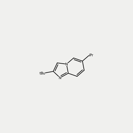 CC(C)c1ccc2nc(C(C)(C)C)cn2c1